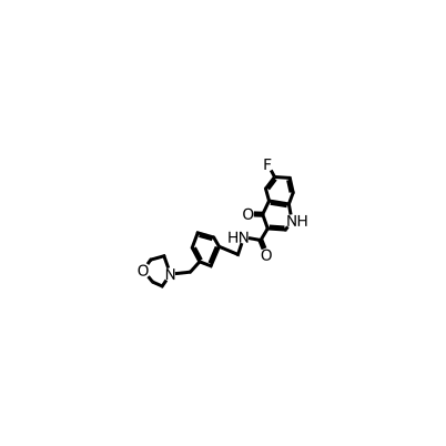 O=C(NCc1cccc(CN2CCOCC2)c1)c1c[nH]c2ccc(F)cc2c1=O